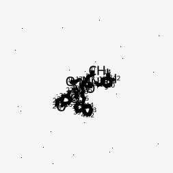 C=CCN(C(=O)NCc1ccc(I)c(I)c1)N1CC(=O)N2[C@@H](Cc3ccc4occc4c3)C(=O)N(Cc3cccc4ccccc34)C[C@@H]21